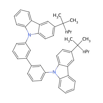 CCCC(C)(C)c1ccc2c(c1)c1ccccc1n2-c1cccc(-c2cccc(-n3c4ccccc4c4cc(C(C)(C)CCC)ccc43)c2)c1